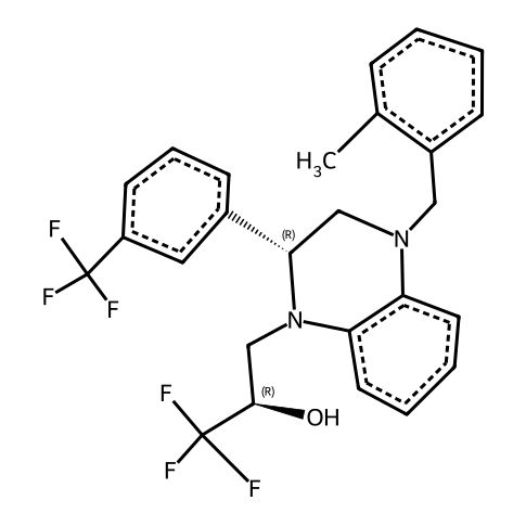 Cc1ccccc1CN1C[C@@H](c2cccc(C(F)(F)F)c2)N(C[C@@H](O)C(F)(F)F)c2ccccc21